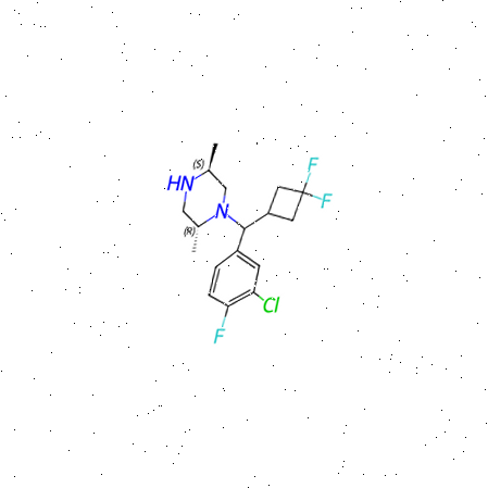 C[C@@H]1CN[C@@H](C)CN1C(c1ccc(F)c(Cl)c1)C1CC(F)(F)C1